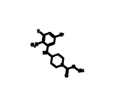 CC(C)(C)OC(=O)N1CCC(Nc2cc(Br)cc(F)c2[N+](=O)[O-])CC1